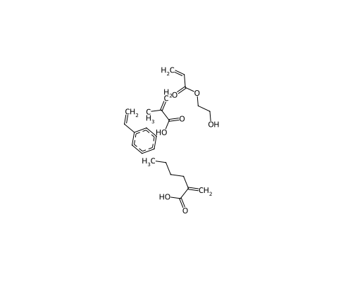 C=C(C)C(=O)O.C=C(CCCC)C(=O)O.C=CC(=O)OCCO.C=Cc1ccccc1